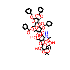 CCC1O[C@@H](OCc2ccccc2)C(OC(=O)c2ccccc2)[C@@H](C)[C@@H]1O[C@@H]1OC(COC(=O)c2ccccc2)[C@H](O)[C@H](O[C@@H]2OC(CO)[C@@H](O[C@@H]3OC(CO)[C@@H]4OC(C)(C)O[C@@H]4C3O)[C@H](O)C2NC(C)=O)C1OC(=O)c1ccccc1